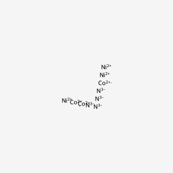 [Co+2].[Co+2].[Co+2].[N-3].[N-3].[N-3].[N-3].[Ni+2].[Ni+2].[Ni+2]